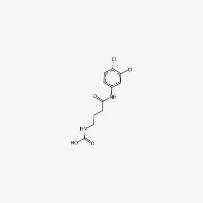 O=C(O)NCCCC(=O)Nc1ccc(Cl)c(Cl)c1